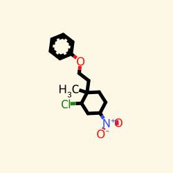 CC1(CCOc2ccccc2)CCC([N+](=O)[O-])CC1Cl